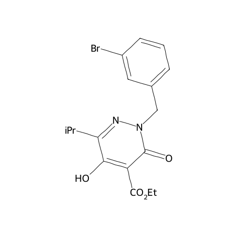 CCOC(=O)c1c(O)c(C(C)C)nn(Cc2cccc(Br)c2)c1=O